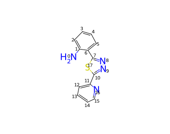 Nc1ccccc1-c1nnc(-c2ccccn2)s1